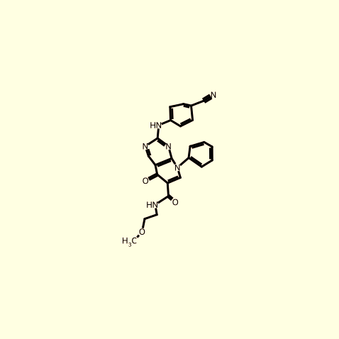 COCCNC(=O)c1cn(-c2ccccc2)c2nc(Nc3ccc(C#N)cc3)ncc2c1=O